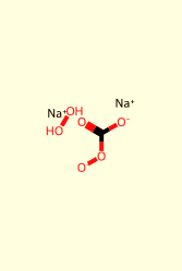 O=C([O-])O[O-].OO.[Na+].[Na+]